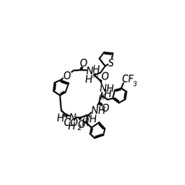 O=C1COc2ccc(cc2)C[C@@H](C(=O)O)NC(=O)[C@H](Cc2ccccc2)NC(=O)[C@H](Cc2cccc(C(F)(F)F)c2)NC(=O)[C@H](CC2CC=CS2)N1